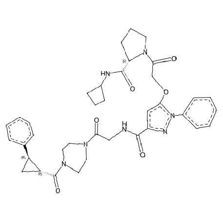 O=C(NCC(=O)N1CCN(C(=O)[C@@H]2C[C@H]2c2ccccc2)CC1)c1cc(OCC(=O)N2CCC[C@H]2C(=O)NC2CCC2)n(-c2ccccc2)n1